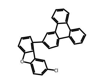 Clc1ccc2oc3cccc(-c4ccc5c6ccccc6c6ccccc6c5c4)c3c2c1